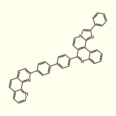 c1ccc(-c2cn3ccc4c(-c5ccc(-c6ccc(-c7ccc8ccc9cccnc9c8n7)cc6)cc5)nc5ccccc5c4c3n2)cc1